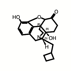 O=C1CC[C@]2(O)[C@@H]3Cc4ccc(O)c5c4[C@]2(CCN3CC2CCC2)C1O5